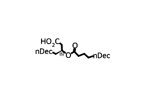 CCCCCCCCCCCCCC(=O)O[C@@H](CCCCCCCCCCC)CC(=O)O